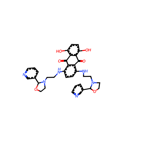 O=C1c2c(O)ccc(O)c2C(=O)c2c(NCCN3CCOC3c3cccnc3)ccc(NCCN3CCOC3c3cccnc3)c21